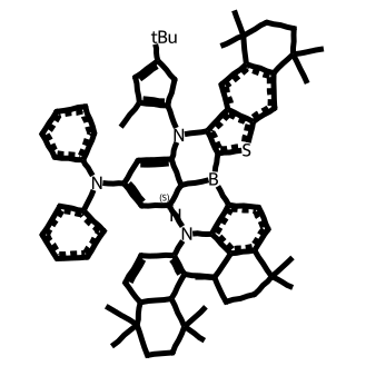 CC1=C(N2C3=CC(N(c4ccccc4)c4ccccc4)=C[C@@H]4C3B(c3ccc5c6c3N4C3=C(C4C(C=C3)C(C)(C)CCC4(C)C)C6(C)CCC5(C)C)c3sc4cc5c(cc4c32)C(C)(C)CCC5(C)C)CC(C(C)(C)C)=C1